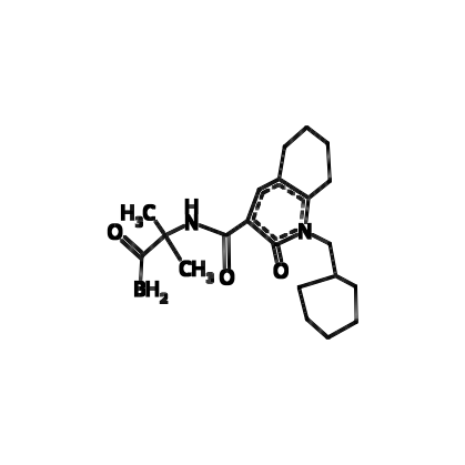 BC(=O)C(C)(C)NC(=O)c1cc2c(n(CC3CCCCC3)c1=O)CCCC2